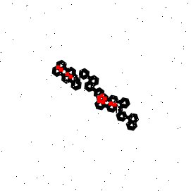 CC1(C)c2ccc(-c3cccc4c(-c5cccc(N(c6ccc(-c7ccccc7)cc6)c6ccccc6-c6ccc(-c7ccccc7)cc6)c5)cccc34)cc2-c2cccc(-c3ccc(N(c4cccc(-c5cccc6ccccc56)c4)c4ccccc4-c4ccc(-c5ccccc5)cc4)cc3)c21